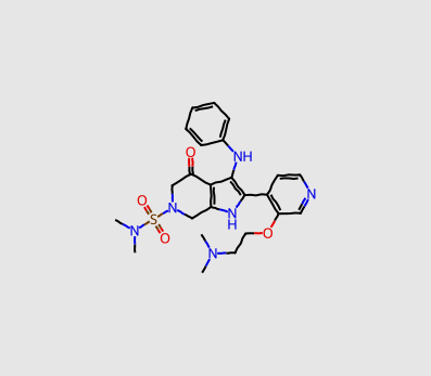 CN(C)CCOc1cnccc1-c1[nH]c2c(c1Nc1ccccc1)C(=O)CN(S(=O)(=O)N(C)C)C2